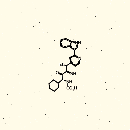 CC[C@H](C(=N)C(=O)[C@@H](NC(=O)O)C1CCCCC1)c1ccnc(-c2c[nH]c3ccccc23)c1